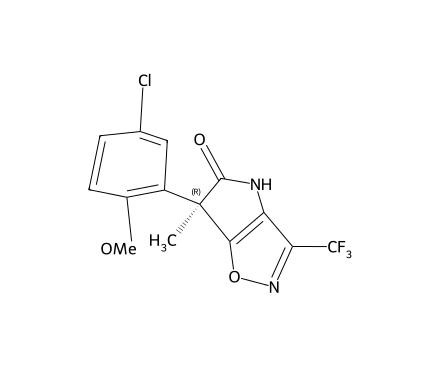 COc1ccc(Cl)cc1[C@@]1(C)C(=O)Nc2c(C(F)(F)F)noc21